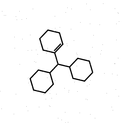 C1=C(C(C2CCCCC2)C2CCCCC2)CCCC1